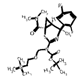 CN(C)C(=O)[C@]12C[C@H]1[C@@](C)(c1cc(Br)ccc1F)N=C(N(COCC[Si](C)(C)C)C(=O)OC(C)(C)C)S2